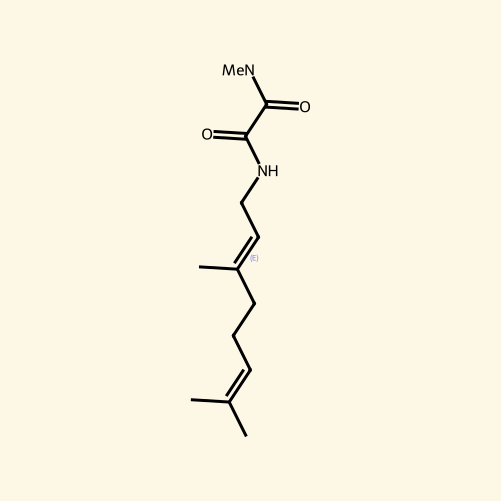 CNC(=O)C(=O)NC/C=C(\C)CCC=C(C)C